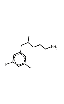 CC(CCCN)Cc1cc(F)cc(F)c1